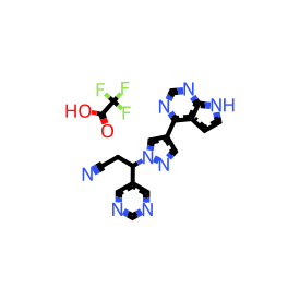 N#CCC(c1cncnc1)n1cc(-c2ncnc3[nH]ccc23)cn1.O=C(O)C(F)(F)F